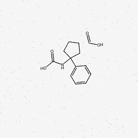 O=C(O)NC1(c2ccccc2)CCCC1.O=CO